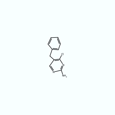 Nc1ncc(Cc2ccccc2)c(Cl)n1